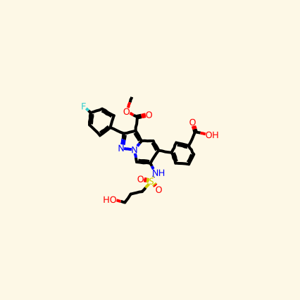 COC(=O)c1c(-c2ccc(F)cc2)nn2cc(NS(=O)(=O)CCCO)c(-c3cccc(C(=O)O)c3)cc12